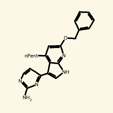 CCCCCc1cc(OCc2ccccc2)nc2[nH]cc(-c3ccnc(N)n3)c12